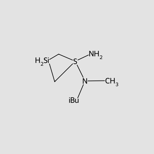 CCC(C)N(C)S1(N)C[SiH2]C1